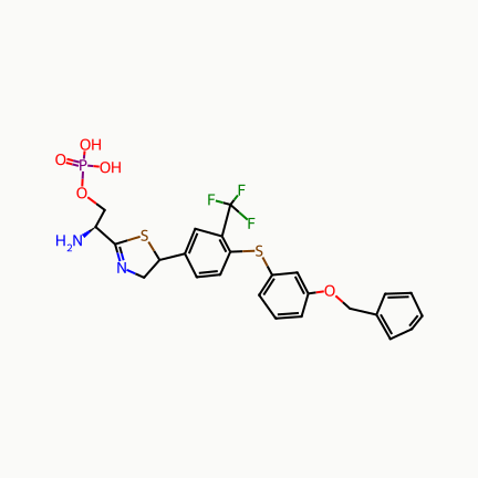 N[C@@H](COP(=O)(O)O)C1=NCC(c2ccc(Sc3cccc(OCc4ccccc4)c3)c(C(F)(F)F)c2)S1